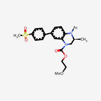 COCCOC(=O)N1C[C@H](C)N(C(C)=O)c2ccc(-c3ccc(S(C)(=O)=O)cc3)cc21